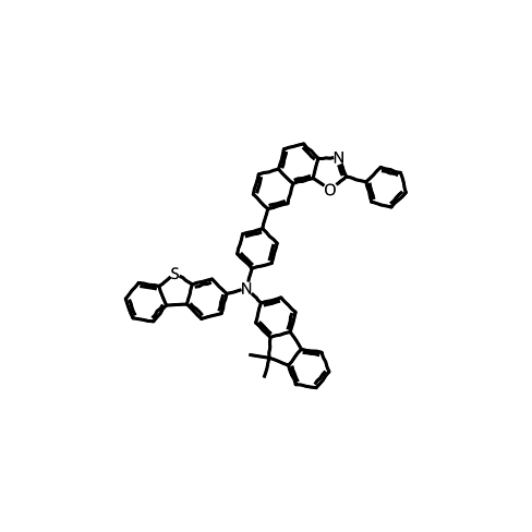 CC1(C)c2ccccc2-c2ccc(N(c3ccc(-c4ccc5ccc6nc(-c7ccccc7)oc6c5c4)cc3)c3ccc4c(c3)sc3ccccc34)cc21